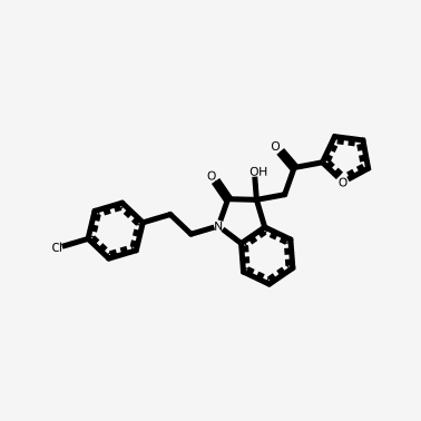 O=C(CC1(O)C(=O)N(CCc2ccc(Cl)cc2)c2ccccc21)c1ccco1